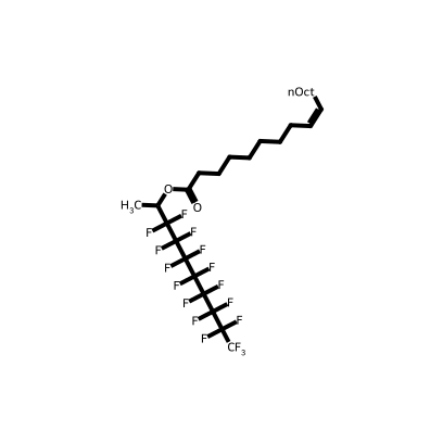 CCCCCCCC/C=C\CCCCCCCC(=O)OC(C)C(F)(F)C(F)(F)C(F)(F)C(F)(F)C(F)(F)C(F)(F)C(F)(F)C(F)(F)F